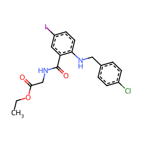 CCOC(=O)CNC(=O)c1cc(I)ccc1NCc1ccc(Cl)cc1